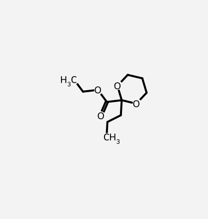 CCCC1(C(=O)OCC)OCCCO1